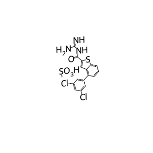 CS(=O)(=O)O.N=C(N)NC(=O)c1cc2c(-c3cc(Cl)cc(Cl)c3)cccc2s1